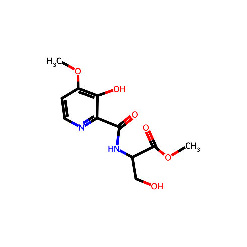 COC(=O)C(CO)NC(=O)c1nccc(OC)c1O